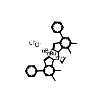 CCCCC1=Cc2c(-c3ccccc3)cc(C)c(C)c2[CH]1[Zr+2]1([CH]2C(CCCC)=Cc3c(-c4ccccc4)cc(C)c(C)c32)[CH2][CH2]1.[Cl-].[Cl-]